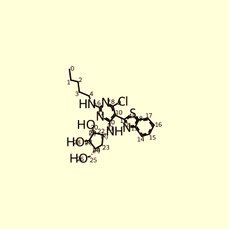 CCCCCNc1nc(Cl)c(-c2nc3ccccc3s2)c(N[C@@H]2C[C@H](CO)[C@@H](O)[C@H]2O)n1